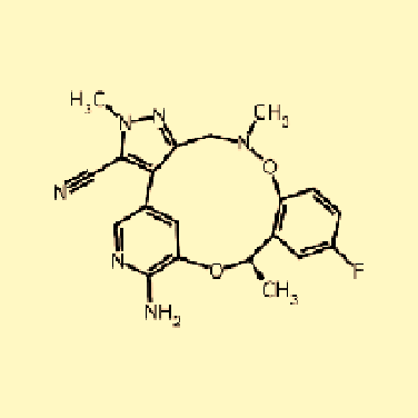 C[C@H]1Oc2cc(cnc2N)-c2c(nn(C)c2C#N)CN(C)Oc2ccc(F)cc21